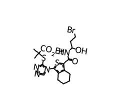 CCOC(=O)C(C)(C)Sc1nncn1-c1sc(C(=O)NC(O)CCBr)c2c1CCCC2